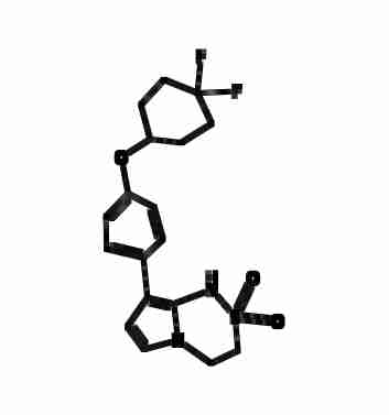 O=S1(=O)CCn2ccc(-c3ccc(OC4CCC(F)(F)CC4)cc3)c2N1